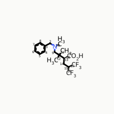 CN(Cc1ccccc1)CC(C)(C)[C@H](CC(C(F)(F)F)C(F)(F)F)C(=O)O